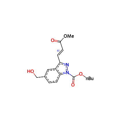 CCCCOC(=O)n1nc(/C=C/C(=O)OC)c2cc(CO)ccc21